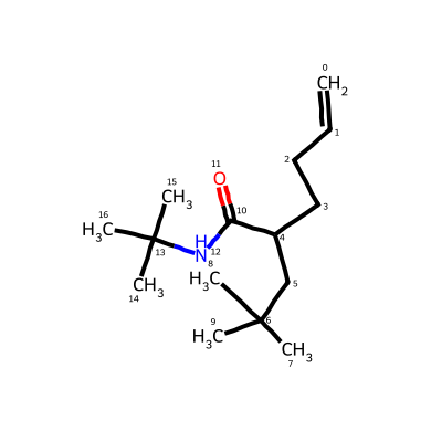 C=CCCC(CC(C)(C)C)C(=O)NC(C)(C)C